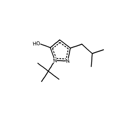 CC(C)Cc1cc(O)n(C(C)(C)C)n1